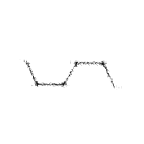 CC(C)(C)CCOCCOCCOCCOCCOCCOP(=O)(O)OCCOCCOCCOCCOCCOCCOP(=O)(O)OCCCCCCSSCCCCCCOP(=O)(O)OCCOCCOCCOCCOCCOCCOP(=O)(O)OCCOCCOCCOCCOCCOCCC(C)(C)C